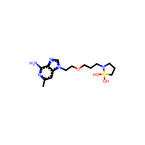 Cc1cc2c(ncn2CCOCCCN2CCCS2(O)O)c(N)n1